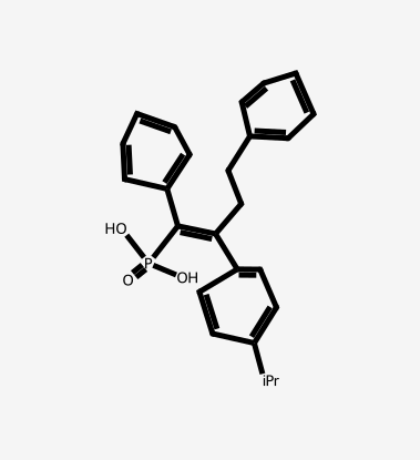 CC(C)c1ccc(C(CCc2ccccc2)=C(c2ccccc2)P(=O)(O)O)cc1